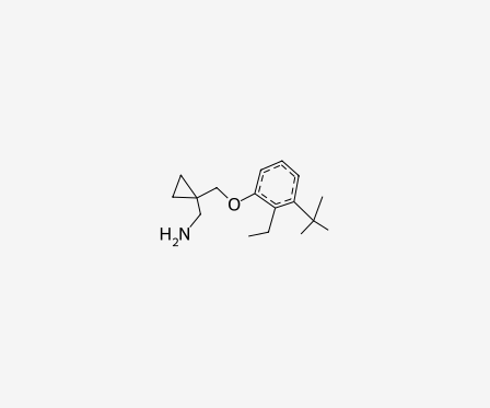 CCc1c(OCC2(CN)CC2)cccc1C(C)(C)C